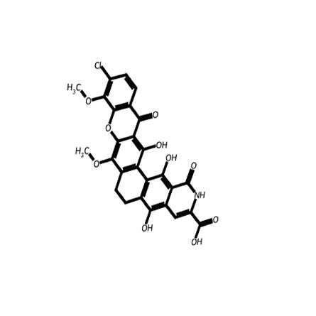 COc1c(Cl)ccc2c(=O)c3c(O)c4c(c(OC)c3oc12)CCc1c-4c(O)c2c(=O)[nH]c(C(=O)O)cc2c1O